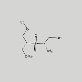 B[C@@H](CO)S(=O)(=O)[C@H](COC)COCC